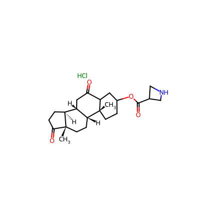 C[C@]12CCC(OC(=O)C3CNC3)CC1C(=O)C[C@@H]1[C@H]2CC[C@]2(C)C(=O)CC[C@@H]12.Cl